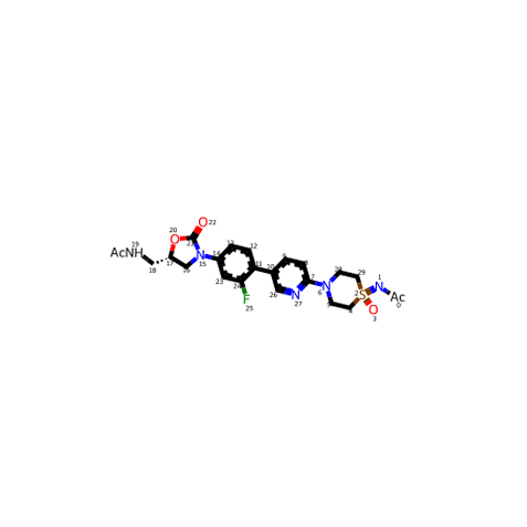 CC(=O)N=S1(=O)CCN(c2ccc(-c3ccc(N4C[C@H](CNC(C)=O)OC4=O)cc3F)cn2)CC1